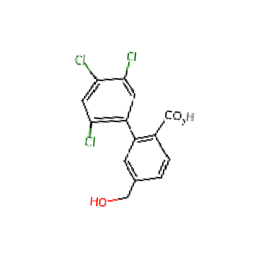 O=C(O)c1ccc(CO)cc1-c1cc(Cl)c(Cl)cc1Cl